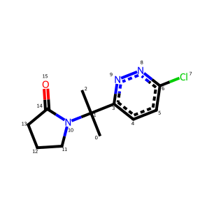 CC(C)(c1ccc(Cl)nn1)N1CCCC1=O